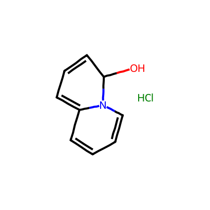 Cl.OC1C=CC=C2C=CC=CN21